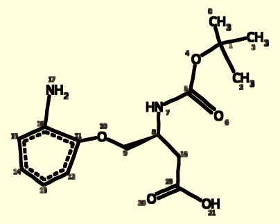 CC(C)(C)OC(=O)N[C@H](COc1ccccc1N)CC(=O)O